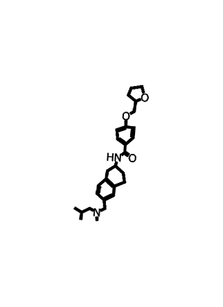 CC(C)CN(C)Cc1ccc2c(c1)CCC(NC(=O)c1ccc(OCC3CCCO3)cc1)C2